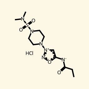 CCC(=O)[N-]c1c[n+](N2CCN(S(=O)(=O)N(C)C)CC2)no1.Cl